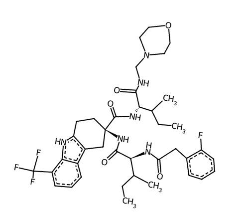 CCC(C)[C@H](NC(=O)Cc1ccccc1F)C(=O)N[C@]1(C(=O)N[C@H](C(=O)NCN2CCOCC2)C(C)CC)CCc2[nH]c3c(C(F)(F)F)cccc3c2C1